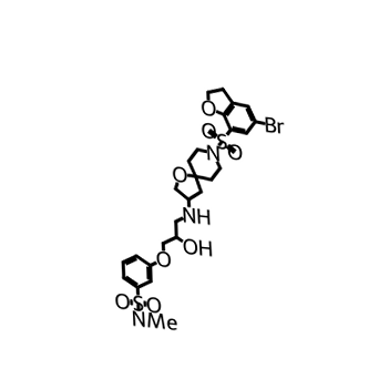 CNS(=O)(=O)c1cccc(OCC(O)CNC2COC3(CCN(S(=O)(=O)c4cc(Br)cc5c4OCC5)CC3)C2)c1